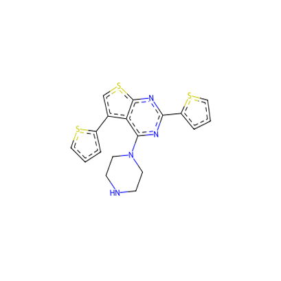 c1csc(-c2nc(N3CCNCC3)c3c(-c4cccs4)csc3n2)c1